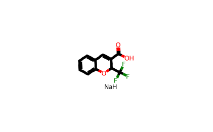 O=C(O)C1=Cc2ccccc2OC1C(F)(F)F.[NaH]